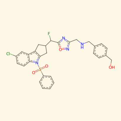 O=S(=O)(c1ccccc1)n1c2c(c3cc(Cl)ccc31)CC(C(F)c1nc(CNCc3ccc(CO)cc3)no1)C2